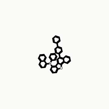 c1ccc(-c2ccc(-c3cc4c(oc5cccc(N(c6ccccc6)c6cccc7ccccc67)c54)c4ccccc34)cc2)cc1